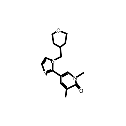 Cc1cc(-c2nccn2CC2CCOCC2)cn(C)c1=O